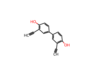 C#Cc1cc(-c2ccc(O)c(C#C)c2)ccc1O